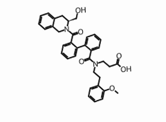 COc1ccccc1CCN(CCC(=O)O)C(=O)c1ccccc1-c1ccccc1C(=O)N1Cc2ccccc2C[C@H]1CO